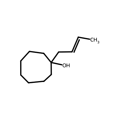 CC=CCC1(O)CCCCCCC1